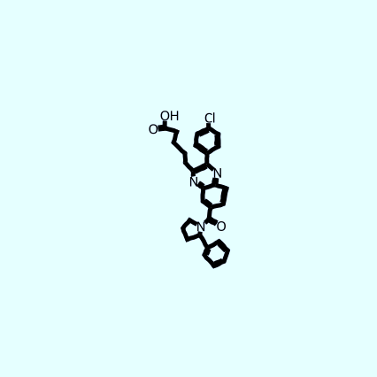 O=C(O)CCCCc1nc2cc(C(=O)N3CCCC3c3ccccc3)ccc2nc1-c1ccc(Cl)cc1